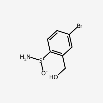 N[S+]([O-])c1ccc(Br)cc1CO